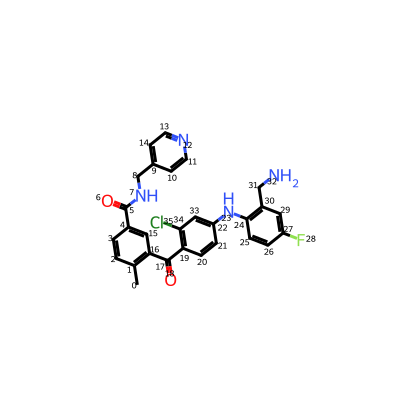 Cc1ccc(C(=O)NCc2ccncc2)cc1C(=O)c1ccc(Nc2ccc(F)cc2CN)cc1Cl